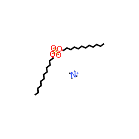 CCCCCCCCCCCCOS(=O)(=O)OCCCCCCCCCCCC.C[N+](C)(C)C